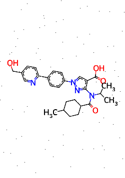 CC1CCC(C(=O)N(c2nn(-c3ccc(-c4ccc(CO)cn4)cc3)cc2C(=O)O)C(C)C)CC1